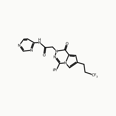 CC(C)c1nn(CC(=O)Nc2ccncn2)c(=O)c2cc(CCC(F)(F)F)cn12